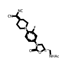 [C-]#[N+]C([N+]#[C-])=C1CCN(c2ccc(N3C[C@H](CNC(C)=O)OC3=O)cc2F)CC1